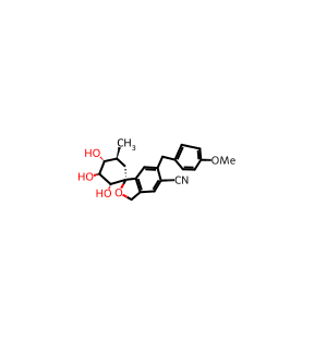 COc1ccc(Cc2cc3c(cc2C#N)CO[C@]32C[C@H](C)[C@@H](O)[C@H](O)[C@H]2O)cc1